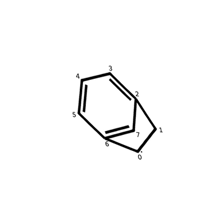 [CH]1Cc2cccc1c2